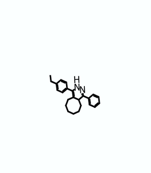 CCc1ccc(C2=C3CCCCCCC3C(c3ccccc3)=NN2)cc1